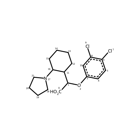 O=C(O)C(Oc1ccc(Cl)c(Cl)c1)C1CCCCC1N1CCCC1